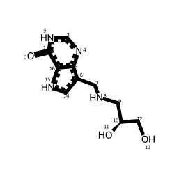 O=c1[nH]cnc2c(CNC[C@H](O)CO)c[nH]c12